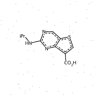 CC(C)Nc1ncc2scc(C(=O)O)c2n1